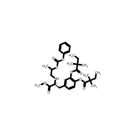 CCC(C)(C)C(=O)Oc1ccc(C[C@H](NCC(C)OC(=O)Oc2ccccc2)C(=O)OC)cc1OC(=O)C(C)(C)CC